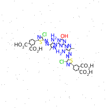 Cc1nn(-c2nc(O)nc(-n3nc(C)c(N=Nc4sc(-c5ccc(C(=O)O)c(C(=O)O)c5)nc4Cl)c3N)n2)c(N)c1N=Nc1sc(-c2ccc(C(=O)O)c(C(=O)O)c2)nc1Cl